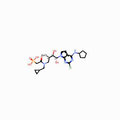 CO[C@H](CN(CC1CC1)C(=O)CP(=O)(O)O)[C@@H](O)[C@@H](O)n1ccc2c(NC3CCCC3)nc(Cl)nc21